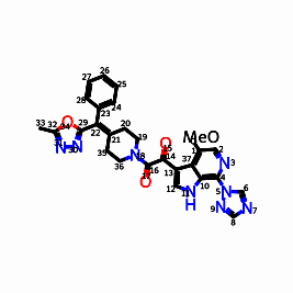 COc1cnc(-n2cncn2)c2[nH]cc(C(=O)C(=O)N3CCC(=C(c4ccccc4)c4nnc(C)o4)CC3)c12